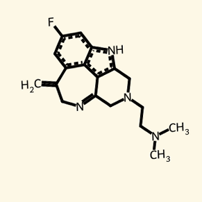 C=C1CN=C2CN(CCN(C)C)Cc3[nH]c4cc(F)cc1c4c32